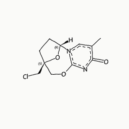 Cc1cn2c(nc1=O)OC[C@]1(CCl)CC[C@H]2O1